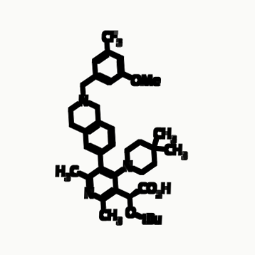 COc1cc(CN2CCc3cc(-c4c(C)nc(C)c([C@H](OC(C)(C)C)C(=O)O)c4N4CCC(C)(C)CC4)ccc3C2)cc(C(F)(F)F)c1